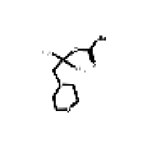 CC(C)(CN1CCOCC1)OC(=O)C(C)(C)C